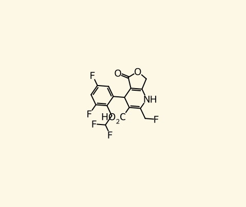 O=C(O)C1=C(CF)NC2=C(C(=O)OC2)C1c1cc(F)cc(F)c1CC(F)F